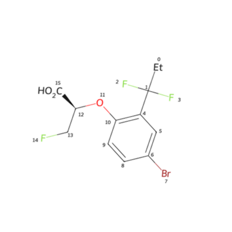 CCC(F)(F)c1cc(Br)ccc1O[C@@H](CF)C(=O)O